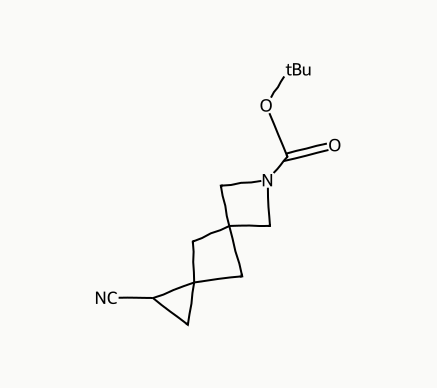 CC(C)(C)OC(=O)N1CC2(C1)CC1(CC1C#N)C2